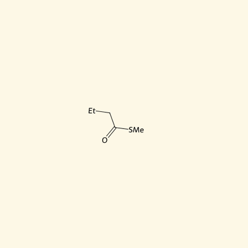 [CH2]SC(=O)CCC